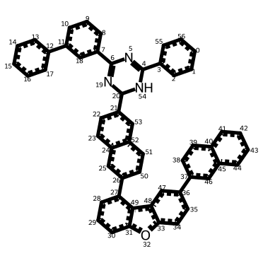 c1ccc(C2=NC(c3cccc(-c4ccccc4)c3)=NC(c3ccc4cc(-c5cccc6oc7ccc(-c8ccc9ccccc9c8)cc7c56)ccc4c3)N2)cc1